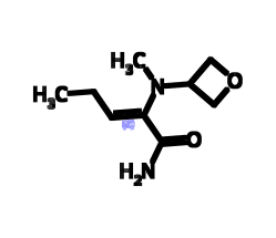 CC/C=C(/C(N)=O)N(C)C1COC1